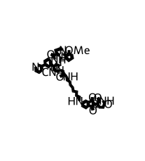 COc1cccc(F)c1-c1nccc(C(=O)Nc2ccc(-c3cnccc3C#N)cc2N2CCN(CC(=O)NCCCCCCCCNc3ccc4c(c3)C(=O)N(C3CCC(=O)NC3=O)C4=O)CC2)n1